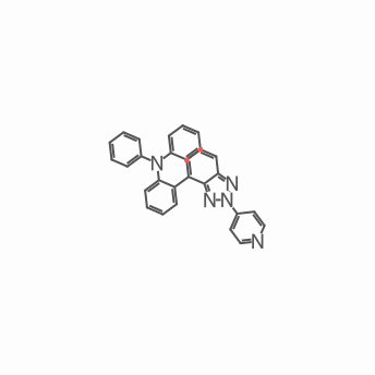 c1ccc(N(c2ccccc2)c2ccccc2-c2cccc3nn(-c4ccncc4)nc23)cc1